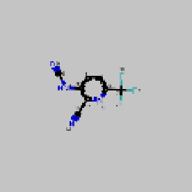 N#CNc1ccc(C(F)(F)F)nc1C#N